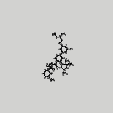 CC(CO)COc1cc(F)cc(-c2ccc(C(=O)NS(=O)(=O)c3cccc(N)n3)c(N3C[C@@H](C)CC3(C)C)n2)c1